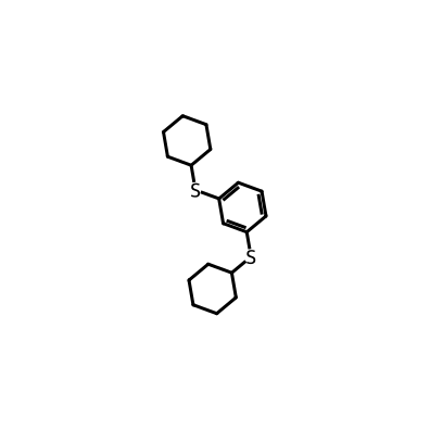 c1cc(SC2CCCCC2)cc(SC2CCCCC2)c1